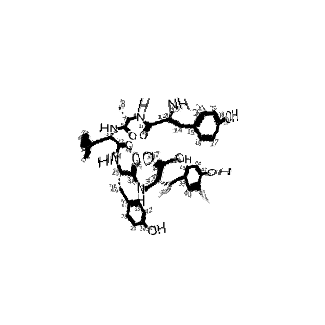 CC(C)[C@H](NC(=O)[C@H](C)NC(=O)[C@@H](N)Cc1ccc(O)cc1)C(=O)N[C@@H](Cc1ccc(O)cc1)C(=O)N[C@@H](Cc1ccc(O)cc1)C(=O)O